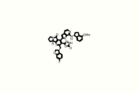 COc1cccc2c1CC[C@H]2Nc1nccc2cc(-c3c4c(nc(C[C@@H]5COc6cc(F)ccc65)c3-c3n[nH]c(=O)o3)[C@@H]3CCCN3C4=O)sc12